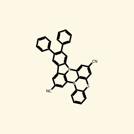 N#Cc1cc2c3c(c1)-n1c4cc(-c5ccccc5)c(-c5ccccc5)cc4c4cc(C#N)cc(c41)B3c1ccccc1S2